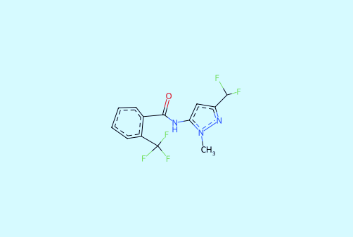 Cn1nc(C(F)F)cc1NC(=O)c1ccccc1C(F)(F)F